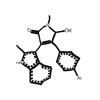 CC(=O)c1ccc(C2=C(c3c(C)[nH]c4ccccc34)C(=O)N(C)C2O)cc1